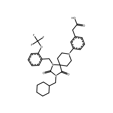 O=C(O)Cc1cccc(N2CCC3(CC2)C(=O)N(CC2CCCCC2)C(=O)N3Cc2ccccc2OC(F)(F)F)c1